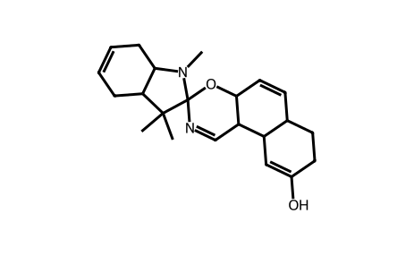 CN1C2CC=CCC2C(C)(C)C12N=CC1C(C=CC3CCC(O)=CC31)O2